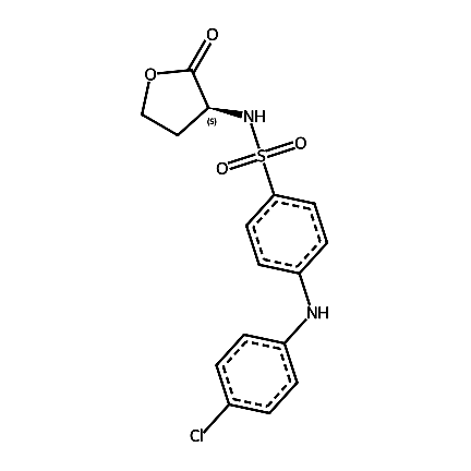 O=C1OCC[C@@H]1NS(=O)(=O)c1ccc(Nc2ccc(Cl)cc2)cc1